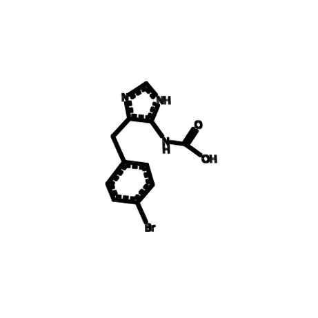 O=C(O)Nc1[nH]cnc1Cc1ccc(Br)cc1